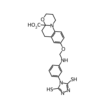 O=C(O)C12CCc3cc(OCNc4cccc(-n5c(S)nnc5S)c4)ccc3N1CCCO2